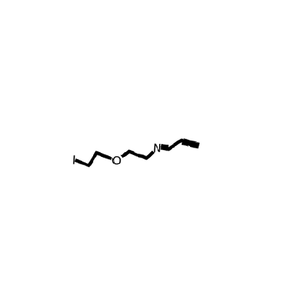 C=C/C=N/CCOCCI